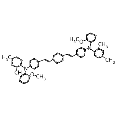 COc1ccccc1N(c1ccc(C=Cc2ccc(C=Cc3ccc(N(c4ccc(C)cc4C)c4ccccc4OC)cc3)cc2)cc1)c1ccc(C)cc1C